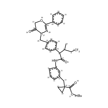 CC(CC(F)(F)F)C(C(=O)Nc1cccc(CC2(C(=O)OC(C)(C)C)CC2)c1)c1ccc(CN2N=C(c3ccccc3)OCC2=O)cc1